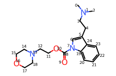 CN(C)CCc1cn(C(=O)OCCN2CCOCC2)c2ccccc12